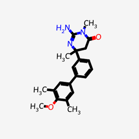 COc1c(C)cc(-c2cccc(C3(C)CC(=O)N(C)C(N)=N3)c2)cc1C